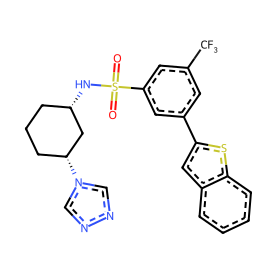 O=S(=O)(N[C@H]1CCC[C@@H](n2cnnc2)C1)c1cc(-c2cc3ccccc3s2)cc(C(F)(F)F)c1